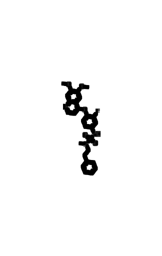 COc1cc2nccc(Oc3ccc(NS(=O)(=O)N(C)CCc4ccccc4)cc3F)c2cc1OC